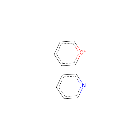 c1cc[o+]cc1.c1ccncc1